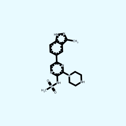 Cc1n[nH]c2ccc(-c3cnc(NS(C)(=O)=O)c(N4CCNCC4)n3)cc12